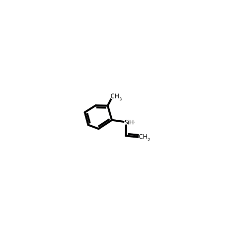 C=C[SiH]c1ccccc1C